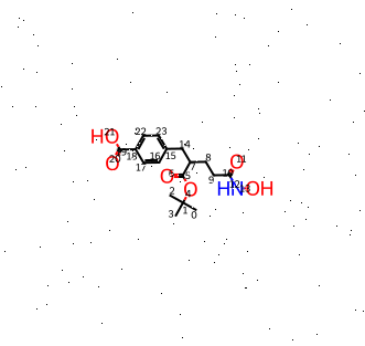 CC(C)(C)OC(=O)C(CCC(=O)NO)Cc1ccc(C(=O)O)cc1